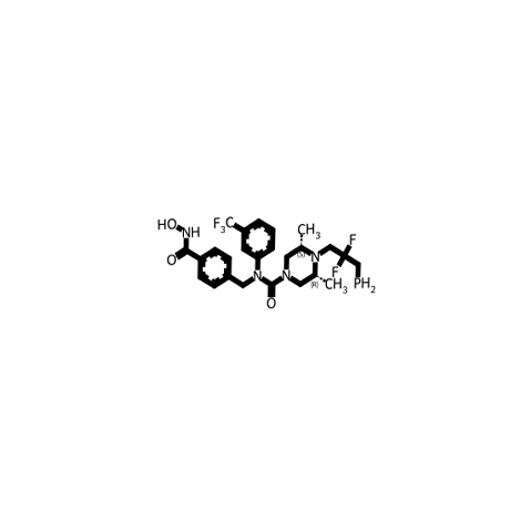 C[C@@H]1CN(C(=O)N(Cc2ccc(C(=O)NO)cc2)c2cccc(C(F)(F)F)c2)C[C@H](C)N1CC(F)(F)CP